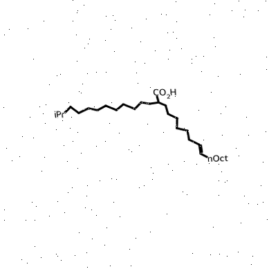 CCCCCCCCC=CCCCCCCC(CCCCCCCCCCC(C)C)C(=O)O